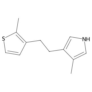 Cc1c[nH]cc1CCc1ccsc1C